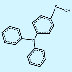 OSc1ccc(N(c2ccccc2)c2ccccc2)cc1